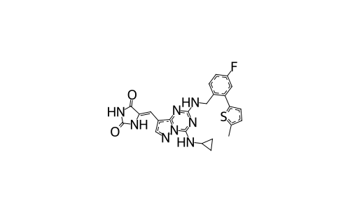 Cc1ccc(-c2cc(F)ccc2CNc2nc(NC3CC3)n3ncc(/C=C4\NC(=O)NC4=O)c3n2)s1